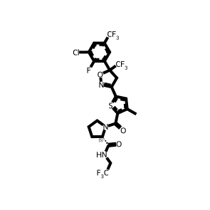 Cc1cc(C2=NOC(c3cc(C(F)(F)F)cc(Cl)c3F)(C(F)(F)F)C2)sc1C(=O)N1CCC[C@H]1C(=O)NCC(F)(F)F